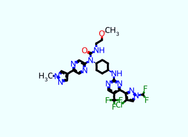 COCCNC(=O)N(c1cnc(-c2cnn(C)c2)cn1)[C@H]1CC[C@H](Nc2ncc(C(F)(F)F)c(-c3nn(C(F)F)cc3Cl)n2)CC1